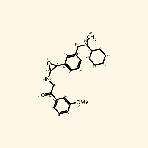 COc1cccc(C(=O)CNC2OC2c2cccc(CN(C)C3CCCCC3)c2)c1